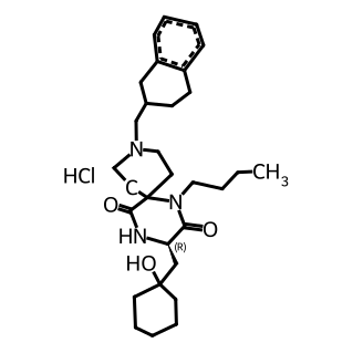 CCCCN1C(=O)[C@@H](CC2(O)CCCCC2)NC(=O)C12CCN(CC1CCc3ccccc3C1)CC2.Cl